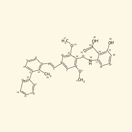 COc1cc(C=Cc2cccc(-c3ccccc3)c2C)cc(OC)c1CNc1cccc(O)c1C(=O)O